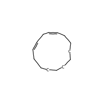 [CH]1CC/C=C\C/C=C\CCCCCC1